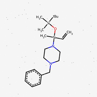 C=C[Si](C)(O[Si](C)(C)C(C)(C)C)N1CCN(Cc2ccccc2)CC1